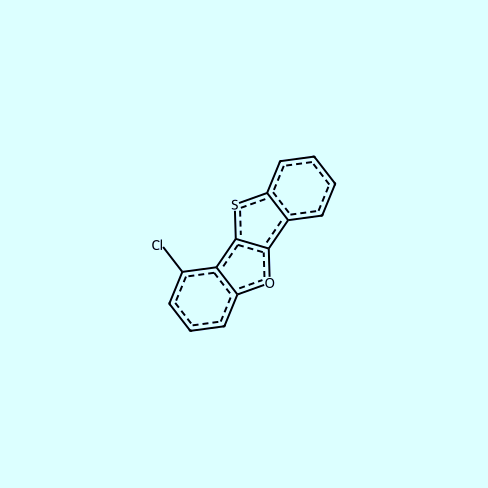 Clc1cccc2oc3c4ccccc4sc3c12